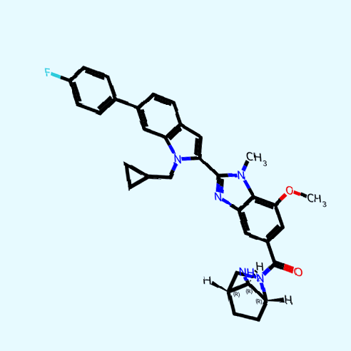 COc1cc(C(=O)N2C[C@H]3CC[C@@H]2[C@@H]3N)cc2nc(-c3cc4ccc(-c5ccc(F)cc5)cc4n3CC3CC3)n(C)c12